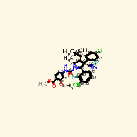 COC(=O)c1ccc(NC(=O)N2C[C@@H](CC(C)(C)C)[C@](C#N)(c3ccc(Cl)cc3F)[C@H]2C2CC=CC(Cl)=C2F)cc1OC